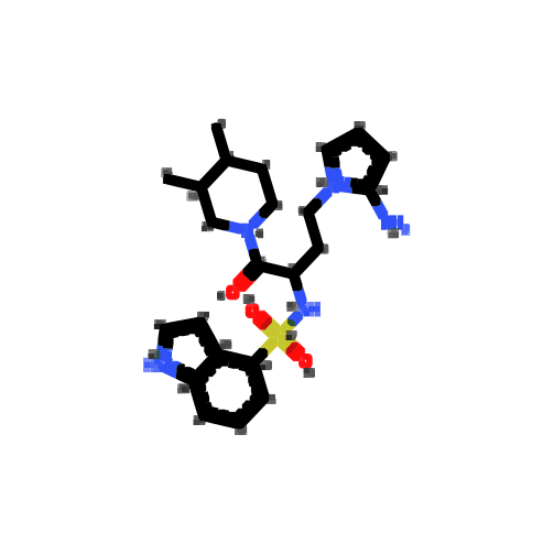 CC1CCN(C(=O)C(CCn2cccc2N)NS(=O)(=O)c2cccc3[nH]ccc23)CC1C